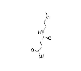 COCCNC(=O)CCC([NH])=O